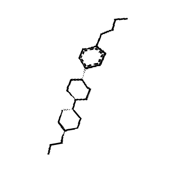 CCCCc1ccc([C@H]2CC[C@H]([C@H]3CC[C@H](CCC)CC3)CC2)cc1